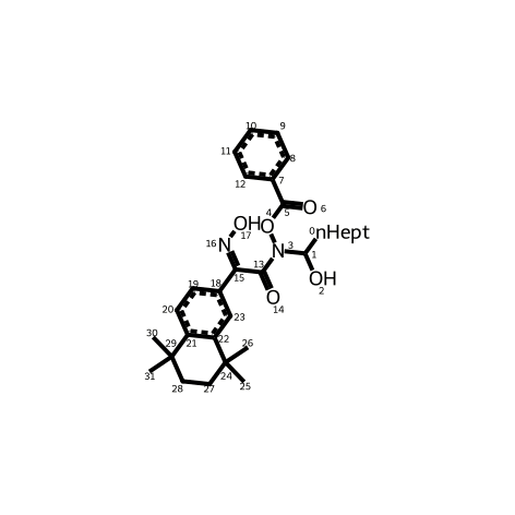 CCCCCCCC(O)N(OC(=O)c1ccccc1)C(=O)C(=NO)c1ccc2c(c1)C(C)(C)CCC2(C)C